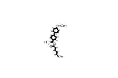 CCCCCCCCOc1ccc(-c2ccc(C(C)OC(=O)CCCCC(C)CC)cc2)cc1